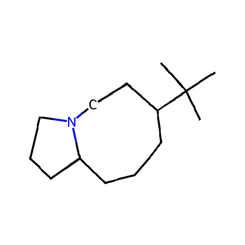 CC(C)(C)C1CCCC2CCCN2CC1